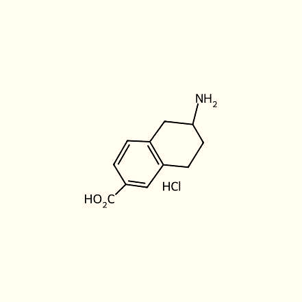 Cl.NC1CCc2cc(C(=O)O)ccc2C1